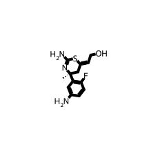 C[C@@]1(c2cc(N)ccc2F)C/C(=C/CO)SC(N)=N1